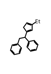 CCC1=CCC(C(Cc2ccccc2)c2ccccc2)=C1